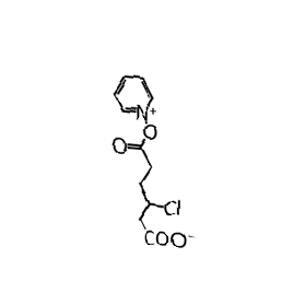 O=C([O-])CC(Cl)CCC(=O)O[n+]1ccccc1